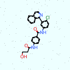 O=C(CCO)Nc1ccc(C(=O)Nc2ccc(Cl)c(-c3nccc4ccccc34)c2)cc1